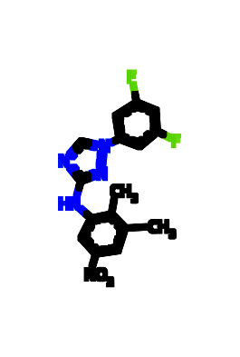 Cc1cc([N+](=O)[O-])cc(Nc2ncn(-c3cc(F)cc(F)c3)n2)c1C